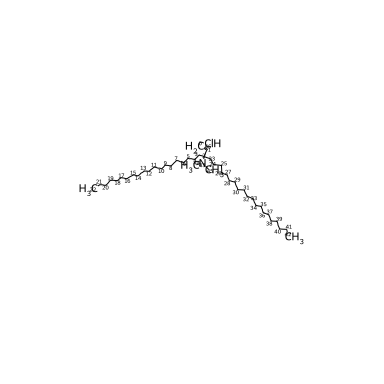 C=CC(CCCCCCCCCCCCCCCCCCCC)(CCCCCCCCCCCCCCCCCCCC)N(C)C.Cl